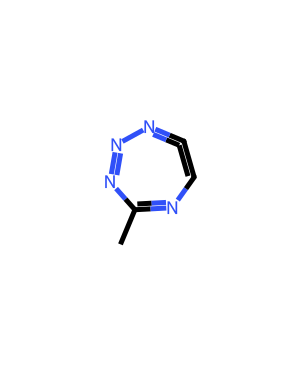 CC1=NC=C=NN=N1